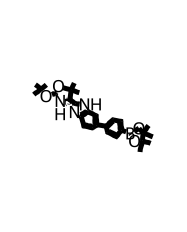 CC(C)(C)OC(=O)N[C@H](c1nc2ccc(-c3ccc(B4OC(C)(C)C(C)(C)O4)cc3)cc2[nH]1)C(C)(C)C